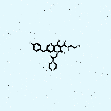 O=C(NCCO)c1c(O)c2ncc(Cc3ccc(F)cc3)cc2n(CC(=O)N2CCOCC2)c1=O